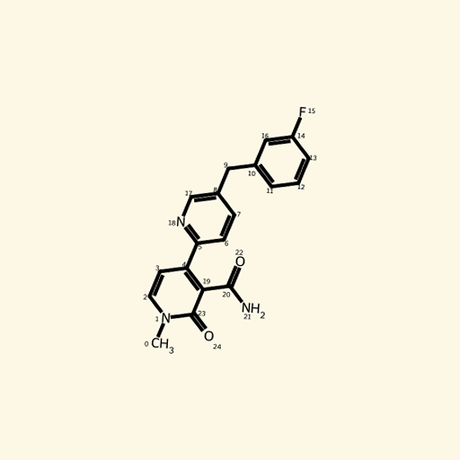 Cn1ccc(-c2ccc(Cc3cccc(F)c3)cn2)c(C(N)=O)c1=O